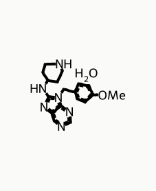 COc1ccc(Cn2c(NC3CCNCC3)nc3cncnc32)cc1.O